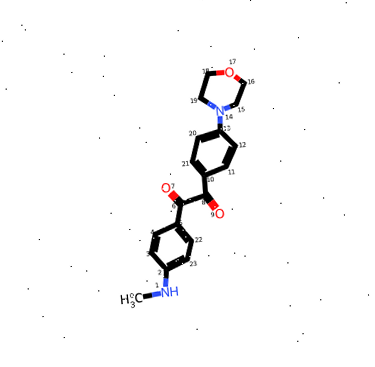 CNc1ccc(C(=O)C(=O)c2ccc(N3CCOCC3)cc2)cc1